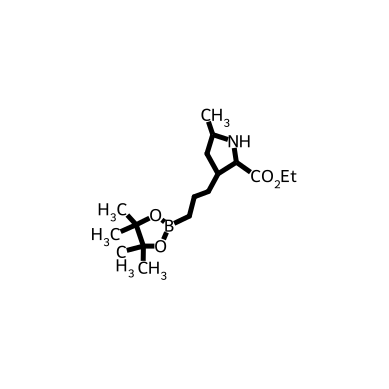 CCOC(=O)C1NC(C)CC1CCCB1OC(C)(C)C(C)(C)O1